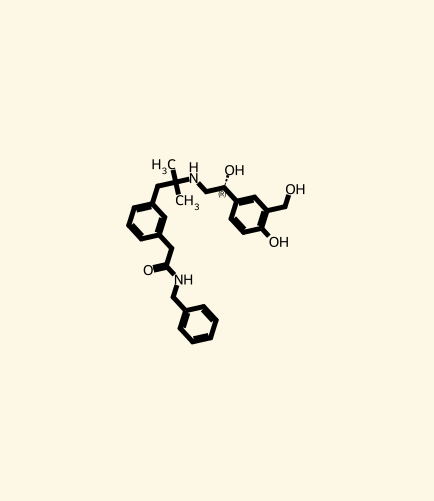 CC(C)(Cc1cccc(CC(=O)NCc2ccccc2)c1)NC[C@H](O)c1ccc(O)c(CO)c1